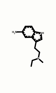 CCN(C)CCc1c[nH]c2ccc(N)cc12